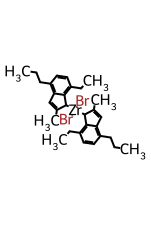 CCCc1ccc(CC)c2c1C=C(C)[CH]2[Zr]([Br])([Br])[CH]1C(C)=Cc2c(CCC)ccc(CC)c21